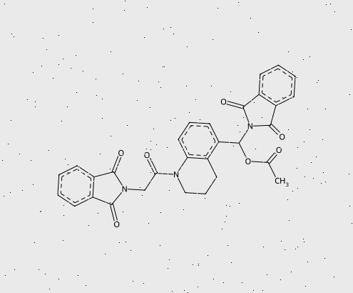 CC(=O)OC(c1cccc2c1CCCN2C(=O)CN1C(=O)c2ccccc2C1=O)N1C(=O)c2ccccc2C1=O